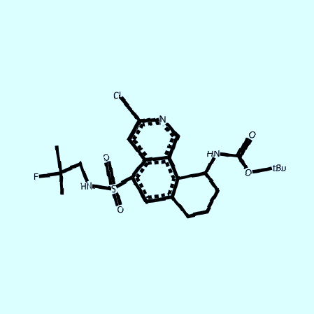 CC(C)(F)CNS(=O)(=O)c1cc2c(c3cnc(Cl)cc13)C(NC(=O)OC(C)(C)C)CCC2